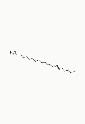 CCCCCC=NCCCCCCCCCCCCCN